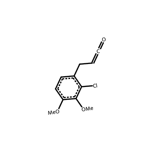 COc1ccc(CC=C=O)c(Cl)c1OC